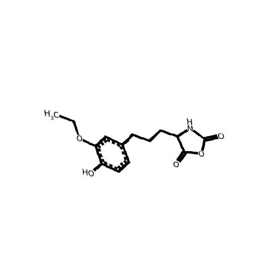 CCOc1cc(CCCC2NC(=O)OC2=O)ccc1O